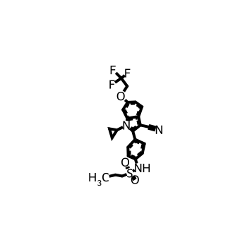 CCCS(=O)(=O)Nc1ccc(-c2c(C#N)c3ccc(OCC(F)(F)F)cc3n2C2CC2)cc1